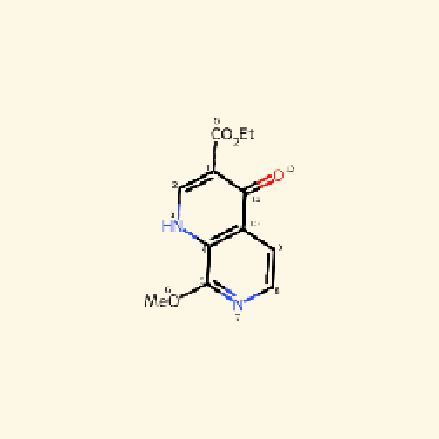 CCOC(=O)c1c[nH]c2c(OC)nccc2c1=O